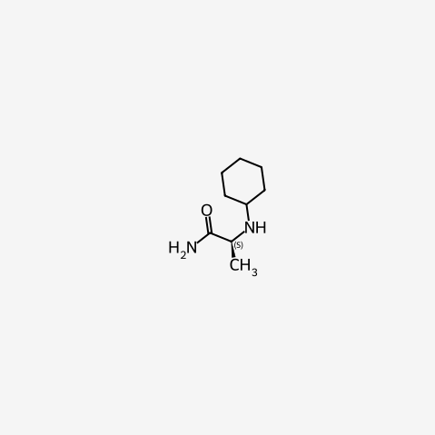 C[C@H](NC1CCCCC1)C(N)=O